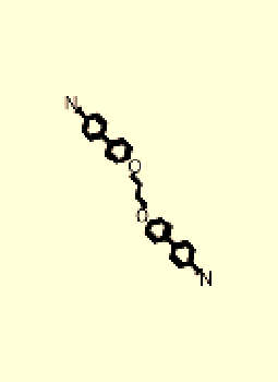 N#Cc1ccc(-c2ccc(OCCCCOc3ccc(-c4ccc(C#N)cc4)cc3)cc2)cc1